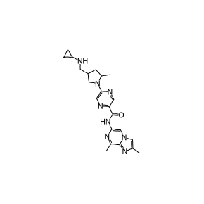 Cc1cn2cc(NC(=O)c3cnc(N4CC(CNC5CC5)CC4C)cn3)nc(C)c2n1